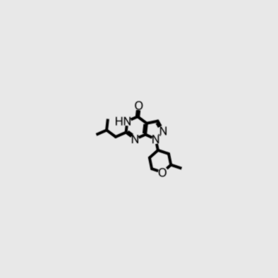 CC(C)Cc1nc2c(cnn2C2CCOC(C)C2)c(=O)[nH]1